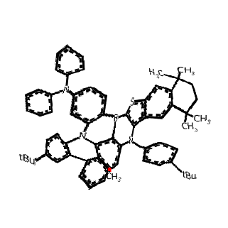 Cc1cc2c3c(c1)N(c1ccc(C(C)(C)C)cc1)c1c(sc4cc5c(cc14)C(C)(C)CCC5(C)C)B3c1ccc(N(c3ccccc3)c3ccccc3)cc1N2c1ccc(C(C)(C)C)cc1-c1ccccc1